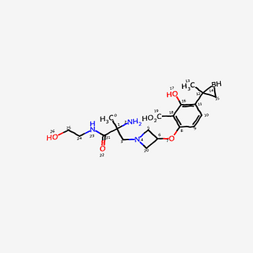 CC(N)(CN1CC(Oc2ccc(C3(C)BC3)c(O)c2C(=O)O)C1)C(=O)NCCO